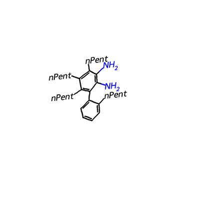 CCCCCc1ccccc1-c1c(N)c(N)c(CCCCC)c(CCCCC)c1CCCCC